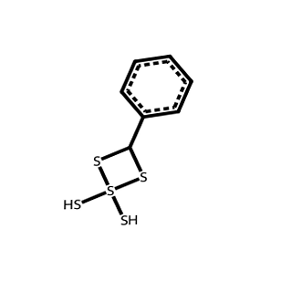 SS1(S)SC(c2ccccc2)S1